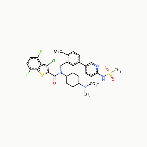 COc1ccc(-c2ccc(NS(C)(=O)=O)nc2)cc1CN(C(=O)c1sc2c(F)ccc(F)c2c1Cl)C1CCC(N(C)C(=O)O)CC1